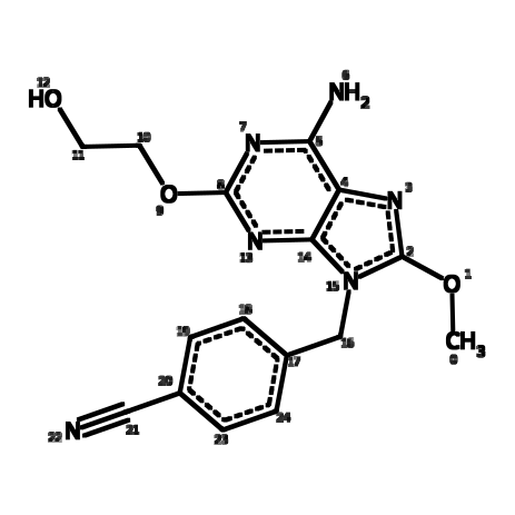 COc1nc2c(N)nc(OCCO)nc2n1Cc1ccc(C#N)cc1